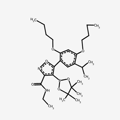 CCCCOc1cc(OCCCC)c(C(C)C)cc1-c1onc(C(=O)NCC)c1B1OC(C)(C)C(C)(C)O1